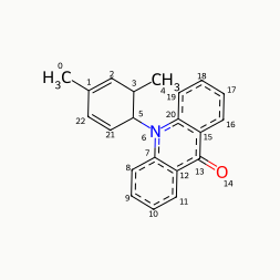 CC1=CC(C)C(n2c3ccccc3c(=O)c3ccccc32)C=C1